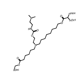 CCCCCCCCCCCOC(=O)CCCCCN(CCCCCCCCOC(=O)C(CCCCCC)CCCCCCCC)CCOC(=O)NCCN(C)C